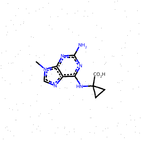 Cn1cnc2c(NC3(C(=O)O)CC3)nc(N)nc21